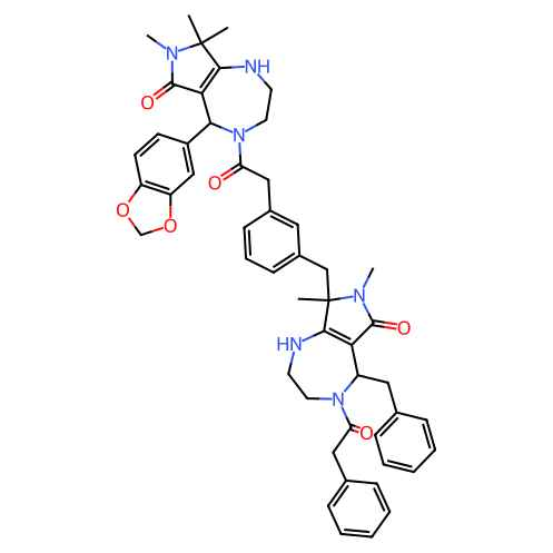 CN1C(=O)C2=C(NCCN(C(=O)Cc3cccc(CC4(C)C5=C(C(=O)N4C)C(Cc4ccccc4)N(C(=O)Cc4ccccc4)CCN5)c3)C2c2ccc3c(c2)OCO3)C1(C)C